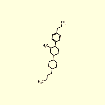 CCCC[C@H]1CC[C@H](C2CCC(c3ccc(CCC)cc3)C(C)C2)CC1